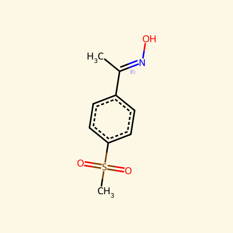 C/C(=N\O)c1ccc(S(C)(=O)=O)cc1